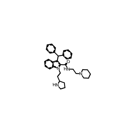 O=C(NCCN1CCCCC1)c1c(C(c2ccccc2)c2ccccc2)c2ccccc2n1CCC1CCCN1